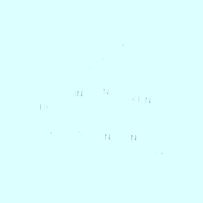 N#Cc1c(N2CCOCC2)nc2sc(C(=O)O)c3c2c1N(c1c(Cl)ccc2c1OCO2)C(=O)N3